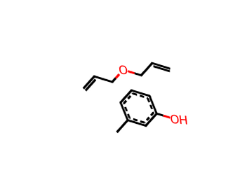 C=CCOCC=C.Cc1cccc(O)c1